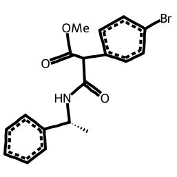 COC(=O)C(C(=O)N[C@H](C)c1ccccc1)c1ccc(Br)cc1